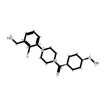 CCCO[C@H]1CC[C@@H](C(=O)N2CCN(c3cccc(CO)c3F)CC2)CC1